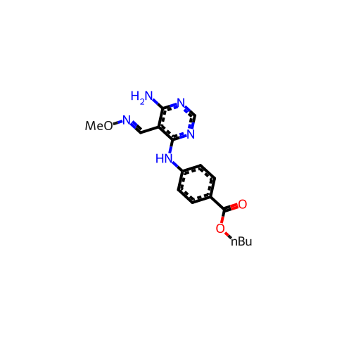 CCCCOC(=O)c1ccc(Nc2ncnc(N)c2/C=N/OC)cc1